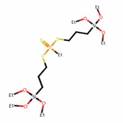 CCO[Si](CCCSP(=S)(CC)SCCC[Si](OCC)(OCC)OCC)(OCC)OCC